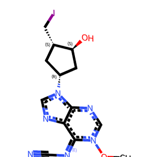 COn1cnc2c(ncn2[C@@H]2C[C@H](CI)[C@@H](O)C2)/c1=N\C#N